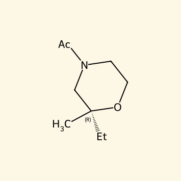 CC[C@]1(C)CN(C(C)=O)CCO1